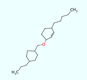 CCCCCC1C=CC(OCC2CCC(CCC)CC2)CC1